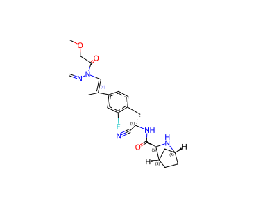 C=NN(/C=C(\C)c1ccc(C[C@@H](C#N)NC(=O)[C@H]2N[C@@H]3CC[C@H]2C3)c(F)c1)C(=O)COC